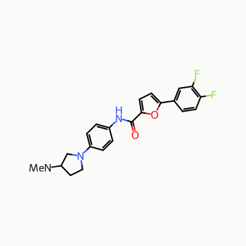 CNC1CCN(c2ccc(NC(=O)c3ccc(-c4ccc(F)c(F)c4)o3)cc2)C1